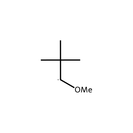 CO[CH]C(C)(C)C